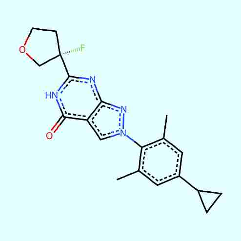 Cc1cc(C2CC2)cc(C)c1-n1cc2c(=O)[nH]c([C@]3(F)CCOC3)nc2n1